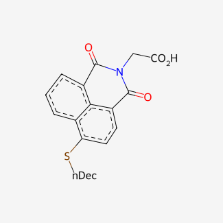 CCCCCCCCCCSc1ccc2c3c(cccc13)C(=O)N(CC(=O)O)C2=O